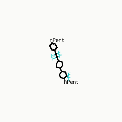 CCCCCc1ccc(C(F)(F)C(F)(F)C2CCC(C3CCC(CCCCC)C(F)(F)C3)CC2)cc1